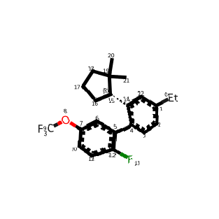 CCc1ccc(-c2cc(OC(F)(F)F)ccc2F)c([C@@H]2CCCC2(C)C)c1